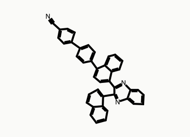 N#Cc1ccc(-c2ccc(-c3ccc(-c4nc5ccccc5nc4-c4cccc5ccccc45)c4ccccc34)cc2)cc1